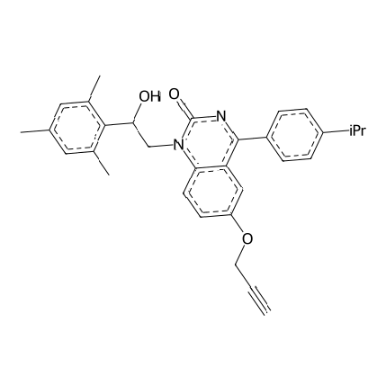 C#CCOc1ccc2c(c1)c(-c1ccc(C(C)C)cc1)nc(=O)n2CC(O)c1c(C)cc(C)cc1C